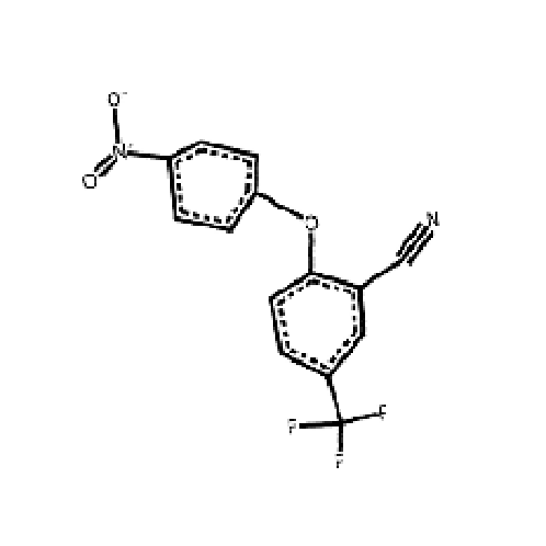 N#Cc1cc(C(F)(F)F)ccc1Oc1ccc([N+](=O)[O-])cc1